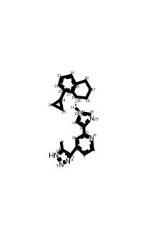 Cc1[nH]nnc1-c1ccnc(-c2cn(C[C@H]3CCCc4cccc(C5CC5)c43)cn2)c1